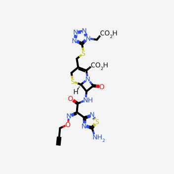 C#CCO/N=C(/C(=O)NC1C(=O)N2C(C(=O)O)=C(CSc3nnnn3CC(=O)O)CS[C@H]12)c1nsc(N)n1